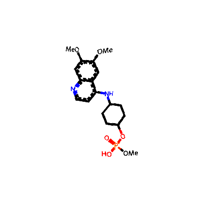 COc1cc2nccc(NC3CCC(OP(=O)(O)OC)CC3)c2cc1OC